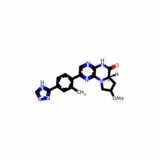 COC1C[C@H]2C(=O)Nc3ncc(-c4ccc(-c5nnc[nH]5)cc4C)nc3N2C1